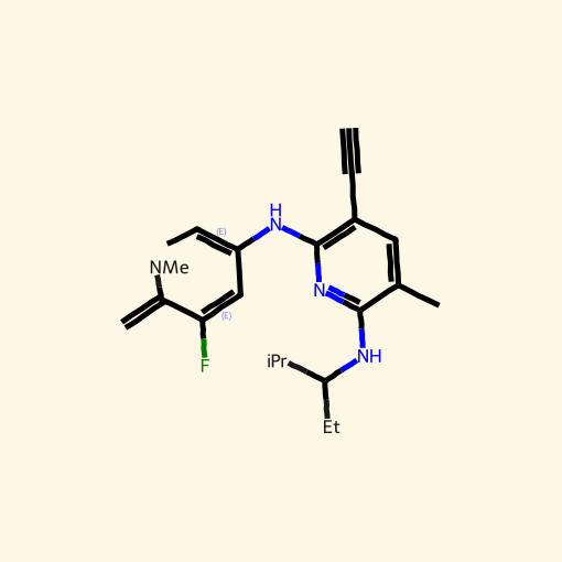 C#Cc1cc(C)c(NC(CC)C(C)C)nc1NC(=C/C)/C=C(/F)C(=C)NC